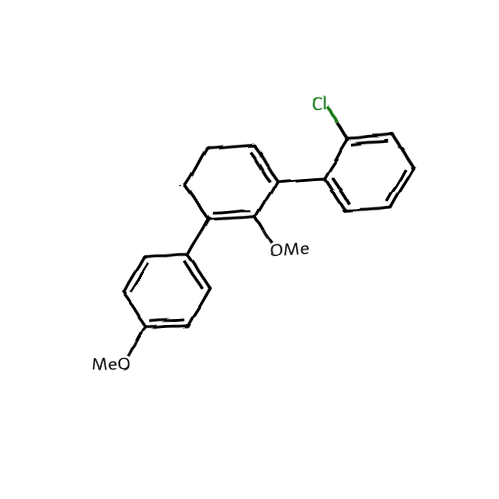 COC1=C(c2ccc(OC)cc2)[CH]CC=C1c1ccccc1Cl